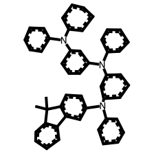 CC1(C)c2ccccc2-c2cc(N(c3ccccc3)c3cccc(N(c4ccccc4)c4cccc(N(c5ccccc5)c5ccccc5)c4)c3)ccc21